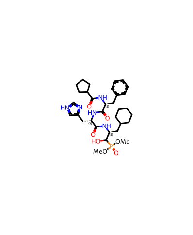 COP(=O)(OC)C(O)[C@H](CC1CCCCC1)NC(=O)[C@H](Cc1c[nH]cn1)NC(=O)[C@H](Cc1ccccc1)NC(=O)C1CCCC1